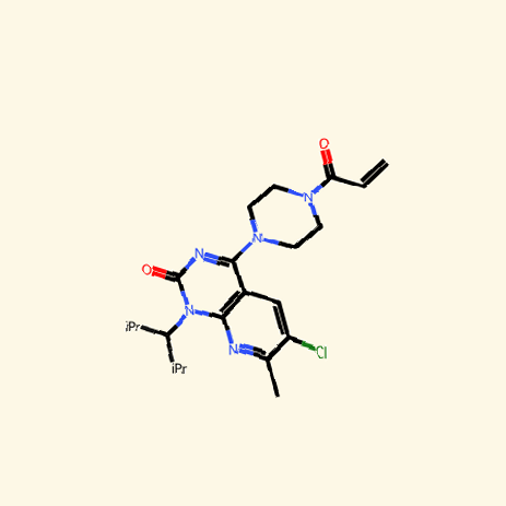 C=CC(=O)N1CCN(c2nc(=O)n(C(C(C)C)C(C)C)c3nc(C)c(Cl)cc23)CC1